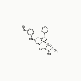 CCOc1cccc(NN2C=Nc3c(c(-c4ccccc4)cn3[C@@H]3O[C@H](C)[C@@H](O)[C@H]3O)C2)c1